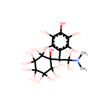 Bc1c(B)c(C(B)(C(B)(B)N(C)C)C2(O)C(B)(B)C(B)(B)C(B)(B)C(B)(B)C2(B)B)c(B)c(B)c1O